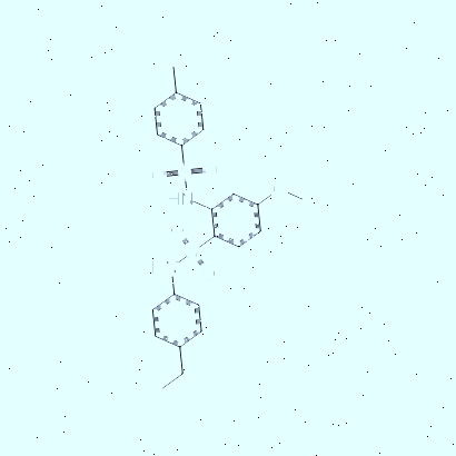 CCc1ccc(NS(=O)(=O)c2ccc(OC)cc2NS(=O)(=O)c2ccc(C)cc2)cc1